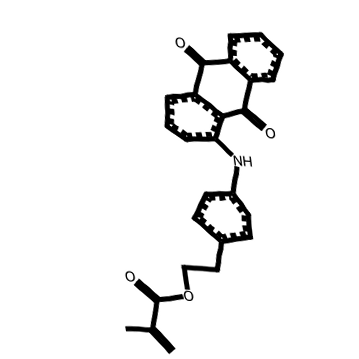 C=C(C)C(=O)OCCc1ccc(Nc2cccc3c2C(=O)c2ccccc2C3=O)cc1